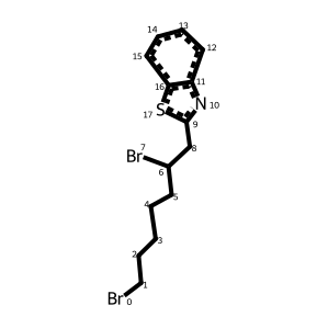 BrCCCCCC(Br)Cc1nc2ccccc2s1